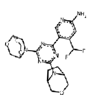 Nc1cc(C(F)F)c(-c2nc(N3CC4CCCC3CO4)nc(N3C4CCC3COC4)n2)cn1